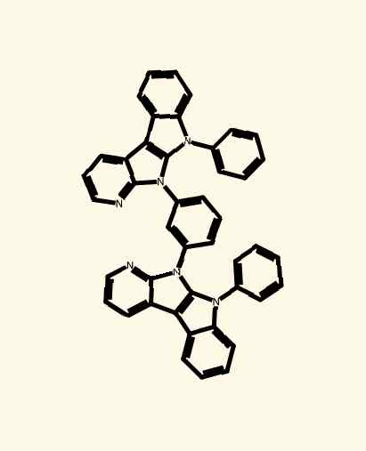 c1ccc(-n2c3ccccc3c3c4cccnc4n(-c4cccc(-n5c6ncccc6c6c7ccccc7n(-c7ccccc7)c65)c4)c32)cc1